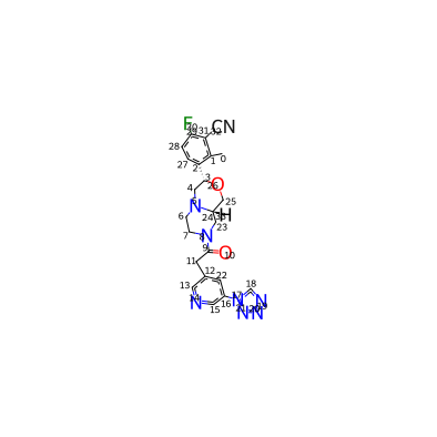 Cc1c([C@H]2CN3CCN(C(=O)Cc4cncc(-n5cnnn5)c4)C[C@H]3CO2)ccc(F)c1C#N